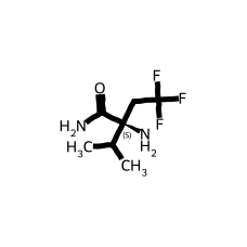 CC(C)[C@@](N)(CC(F)(F)F)C(N)=O